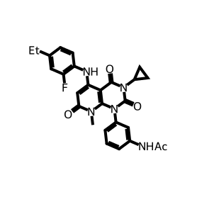 CCc1ccc(Nc2cc(=O)n(C)c3c2c(=O)n(C2CC2)c(=O)n3-c2cccc(NC(C)=O)c2)c(F)c1